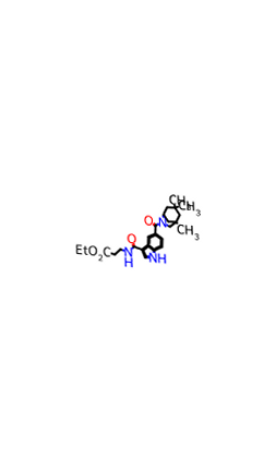 CCOC(=O)CCNC(=O)c1c[nH]c2ccc(C(=O)N3CC4(C)CC3CC(C)(C)C4)cc12